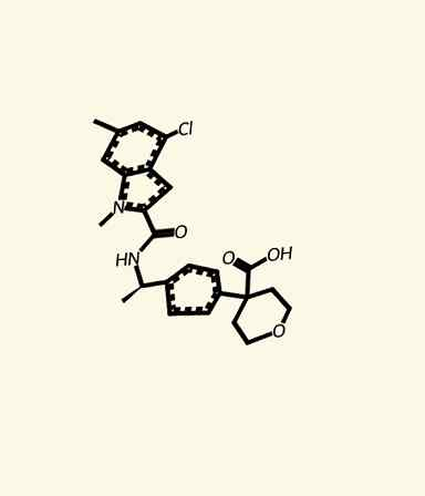 Cc1cc(Cl)c2cc(C(=O)N[C@H](C)c3ccc(C4(C(=O)O)CCOCC4)cc3)n(C)c2c1